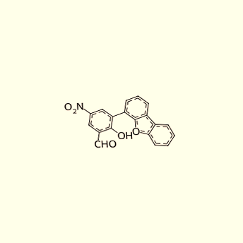 O=Cc1cc([N+](=O)[O-])cc(-c2cccc3c2oc2ccccc23)c1O